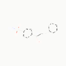 NS(=O)(=O)c1ccc(/C(O)=C/Cc2ccccc2)cc1